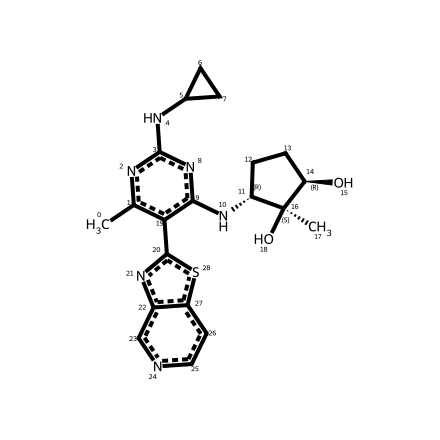 Cc1nc(NC2CC2)nc(N[C@@H]2CC[C@@H](O)[C@@]2(C)O)c1-c1nc2cnccc2s1